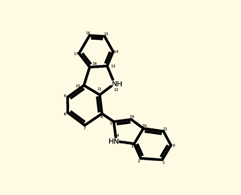 c1ccc2[nH]c(-c3cccc4c3[nH]c3ccccc34)cc2c1